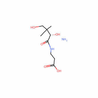 CC(C)(CO)[C@H](O)C(=O)NCCC(=O)O.N